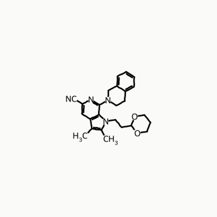 Cc1c(C)n(CCC2OCCCO2)c2c(N3CCc4ccccc4C3)nc(C#N)cc12